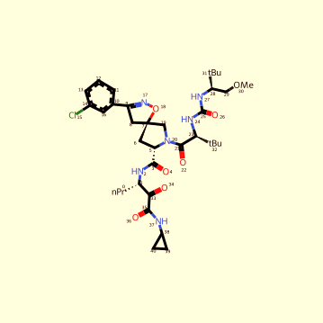 CCC[C@H](NC(=O)[C@@H]1C[C@]2(CC(c3cccc(Cl)c3)=NO2)CN1C(=O)[C@@H](NC(=O)N[C@H](COC)C(C)(C)C)C(C)(C)C)C(=O)C(=O)NC1CC1